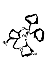 CC(C)(C)[Si](Oc1ccc(Br)c(CN2CCNCC2=O)c1)(c1ccccc1)c1ccccc1